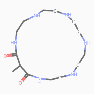 CC1C(=O)NCCNCCNCCNCCNCCNC1=O